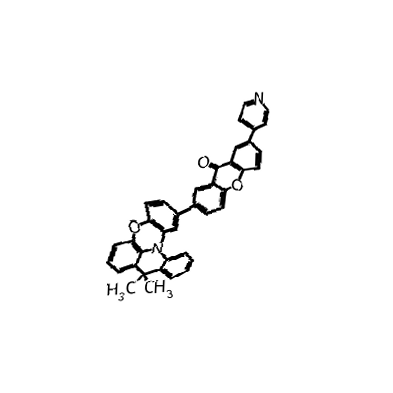 CC1(C)c2ccccc2N2c3cc(-c4ccc5oc6ccc(-c7ccncc7)cc6c(=O)c5c4)ccc3Oc3cccc1c32